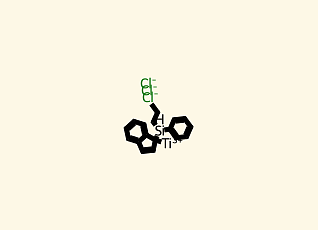 CCC[SiH](c1ccccc1)[C]1([Ti+3])C=Cc2ccccc21.[Cl-].[Cl-].[Cl-]